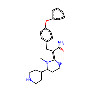 CN1/C(=C(\Cc2ccc(Oc3ccccc3)cc2)C(N)=O)NCC[C@H]1C1CCNCC1